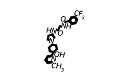 Cc1cccc(C2(O)CCC(N3CCC(NC(=O)CNC(=O)c4cccc(C(F)(F)F)c4)C3)CC2)n1